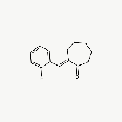 O=C1CCCCC/C1=C\c1ccccc1F